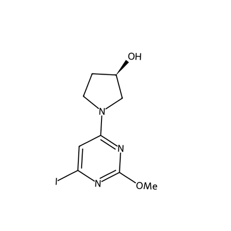 COc1nc(I)cc(N2CC[C@@H](O)C2)n1